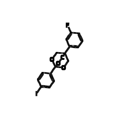 Fc1cccc(C23COC(c4ccc(I)cc4)(OC2)OC3)c1